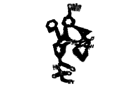 COc1ccc2c(c1)C1CC1(C(=O)N1[C@@H]3CCC[C@H]1COC3)Cn1c-2c(C2CCCCC2)c2ccc(C(=O)NS(=O)(=O)CC(C)C)cc21